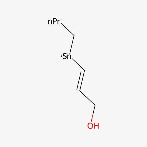 CCC[CH2][Sn][CH]=CCO